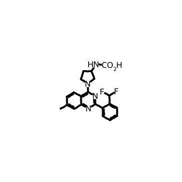 Cc1ccc2c(N3CCC(NC(=O)O)C3)nc(-c3ccccc3C(F)F)nc2c1